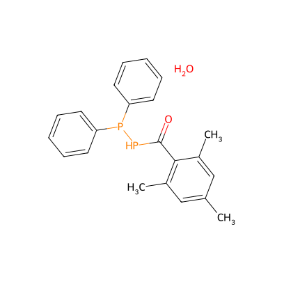 Cc1cc(C)c(C(=O)PP(c2ccccc2)c2ccccc2)c(C)c1.O